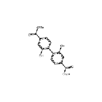 COC(=O)c1ccc(-c2ccc(C(=O)OC)cc2O)c(O)c1